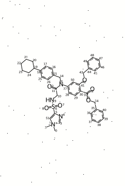 C[N+]1(C)C=NC(S(=O)(=O)NCC(=O)N(Cc2ccc(C3CCCCC3)cc2)c2ccc(C(=O)OCc3ccccc3)c(OCc3ccccc3)c2)=C1